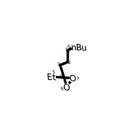 CCCCCCCC1(CC)OO1